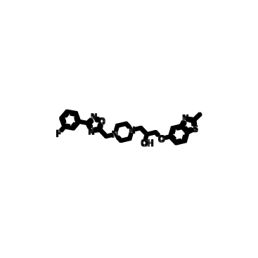 Cc1nc2cc(OCC(O)CN3CCN(Cc4nc(-c5cccc(F)c5)no4)CC3)ccc2s1